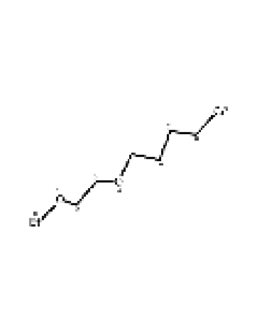 CCOCCOCCCCCl